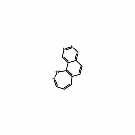 C1=Cc2ccc3nnncc3c2NN=C1